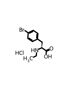 CCN[C@@H](Cc1ccc(Br)cc1)C(=O)O.Cl